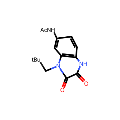 CC(=O)Nc1ccc2[nH]c(=O)c(=O)n(CC(C)(C)C)c2c1